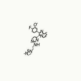 COc1cc(-c2nc3sccn3c2-c2ccnc(NCCN3CCN(C)S3)n2)ccc1F